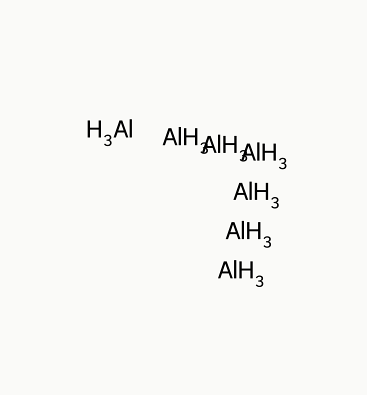 [AlH3].[AlH3].[AlH3].[AlH3].[AlH3].[AlH3].[AlH3]